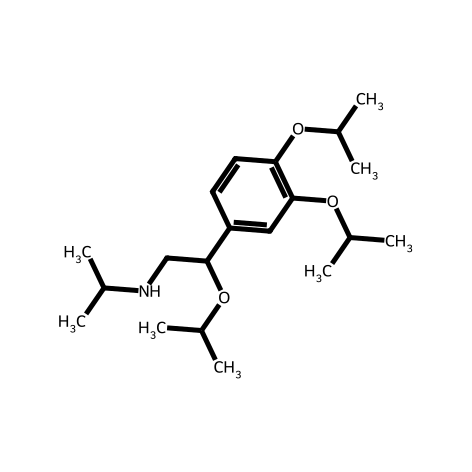 CC(C)NCC(OC(C)C)c1ccc(OC(C)C)c(OC(C)C)c1